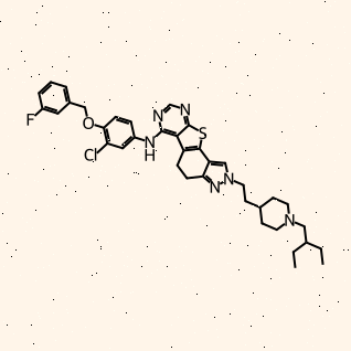 CCC(CC)CN1CCC(CCn2cc3c(n2)CCc2c-3sc3ncnc(Nc4ccc(OCc5cccc(F)c5)c(Cl)c4)c23)CC1